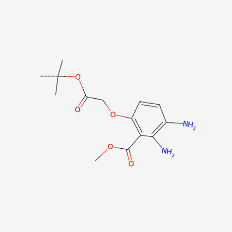 COC(=O)c1c(OCC(=O)OC(C)(C)C)ccc(N)c1N